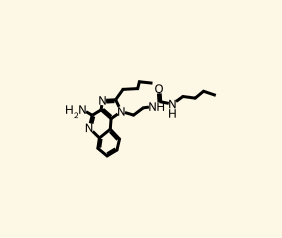 CCCCNC(=O)NCCn1c(CCCC)nc2c(N)nc3ccccc3c21